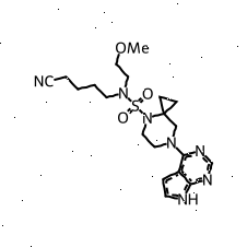 COCCN(CCCCC#N)S(=O)(=O)N1CCN(c2ncnc3[nH]ccc23)CC12CC2